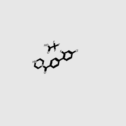 O=C(O)C(F)(F)F.O=C(c1ccc(-c2ccc(Cl)cc2F)cc1)N1CCNCC1